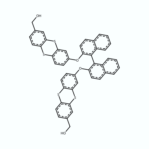 OCc1ccc2c(c1)Sc1cc(Oc3ccc4ccccc4c3-c3c(Oc4ccc5c(c4)Sc4cc(CO)ccc4S5)ccc4ccccc34)ccc1S2